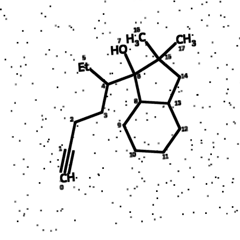 C#CCCC(CC)C1(O)C2CCCCC2CC1(C)C